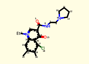 CCn1cc(C(=O)NCCN2CCCC2)c(=O)c2c(Cl)c(C)c(C)cc21